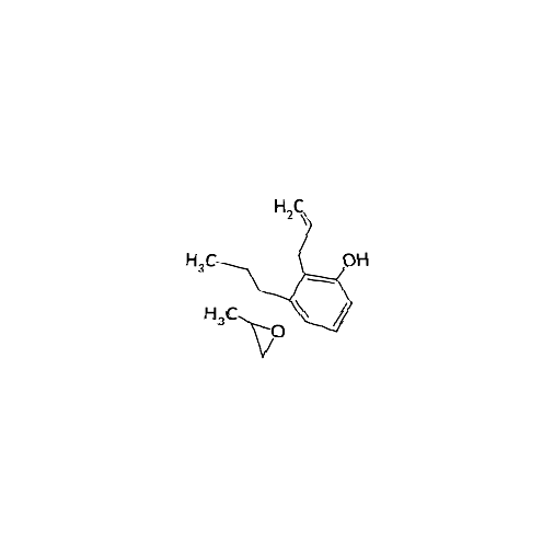 C=CCc1c(O)cccc1CCC.CC1CO1